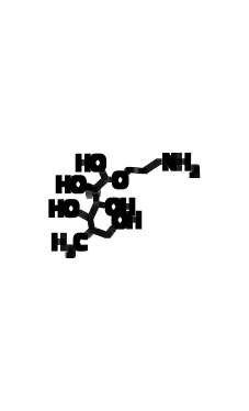 CC(CO)C(O)C(O)[C@@H](O)C(O)OCCCN